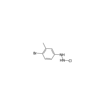 Cc1cc(NNCl)ccc1Br